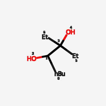 [CH2]CCCC(O)C(O)(CC)CC